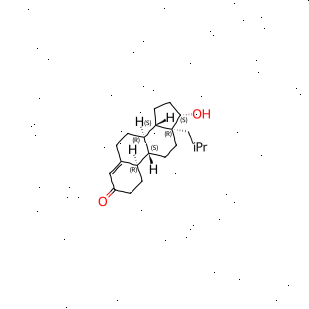 CC(C)C[C@]12CC[C@H]3[C@@H](CCC4=CC(=O)CC[C@@H]43)[C@@H]1CC[C@@H]2O